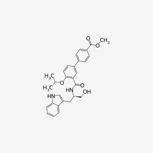 COC(=O)c1ccc(-c2ccc(OC(C)C)c(C(=O)N[C@@H](CO)Cc3c[nH]c4ccccc34)c2)cc1